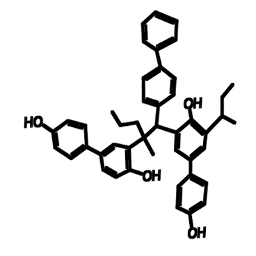 CCCC(C)(c1cc(-c2ccc(O)cc2)ccc1O)C(c1ccc(-c2ccccc2)cc1)c1cc(-c2ccc(O)cc2)cc(C(C)CC)c1O